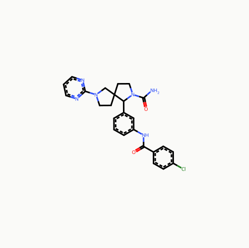 NC(=O)N1CCC2(CCN(c3ncccn3)C2)C1c1cccc(NC(=O)c2ccc(Cl)cc2)c1